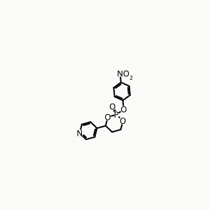 O=[N+]([O-])c1ccc(OP2(=O)OCCC(c3ccncc3)O2)cc1